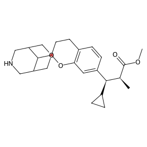 COC(=O)[C@@H](C)[C@H](c1ccc2c(c1)OC(C1C3CNCC1COC3)CC2)C1CC1